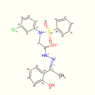 C/C(=N/NC(=O)CN(c1cccc(Cl)c1)S(=O)(=O)c1ccccc1)c1ccccc1O